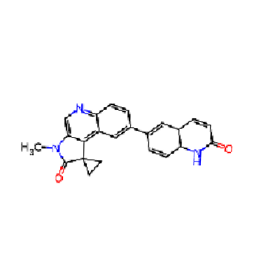 CN1C(=O)C2(CC2)c2c1cnc1ccc(C3=CC4C=CC(=O)NC4C=C3)cc21